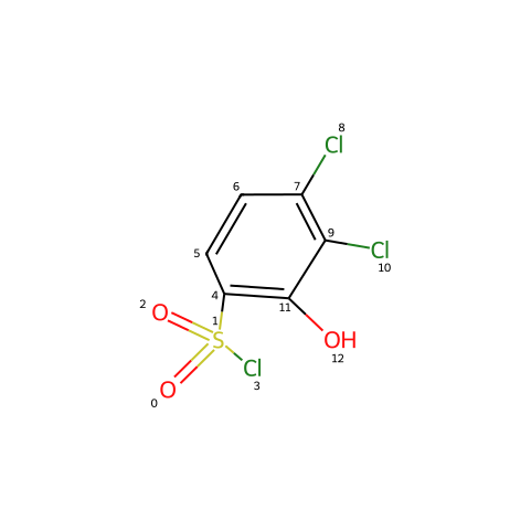 O=S(=O)(Cl)c1ccc(Cl)c(Cl)c1O